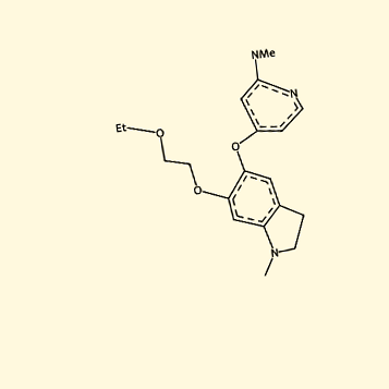 CCOCCOc1cc2c(cc1Oc1ccnc(NC)c1)CCN2C